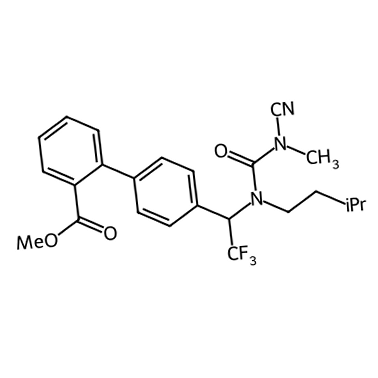 COC(=O)c1ccccc1-c1ccc(C(N(CCC(C)C)C(=O)N(C)C#N)C(F)(F)F)cc1